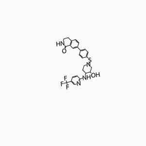 O=C1NCCc2ccc(-c3ccc(SN4CCC(Nc5ccc(C(F)(F)F)cn5)C(O)C4)cc3)cc21